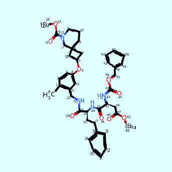 Cc1ccc(OC2CC3(CCCN(C(=O)OC(C)(C)C)C3)C2)cc1CNC(=O)[C@H](CCc1ccccc1)NC(=O)[C@H](CC(=O)OC(C)(C)C)NC(=O)OCc1ccccc1